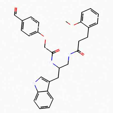 COc1ccccc1CCC(=O)NCC(Cc1c[nH]c2ccccc12)NC(=O)COc1ccc(C=O)cc1